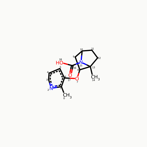 Cc1ncccc1OC1CC2CCC1(C)N2C(=O)O